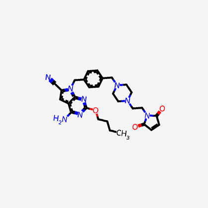 CCCCOc1nc(N)c2cc(C#N)n(Cc3ccc(CN4CCN(CCN5C(=O)C=CC5=O)CC4)cc3)c2n1